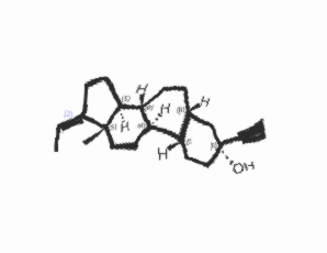 C#C[C@@]1(O)CC[C@H]2[C@H](CC[C@@H]3[C@@H]2CC[C@]2(C)/C(=C\C)CC[C@@H]32)C1